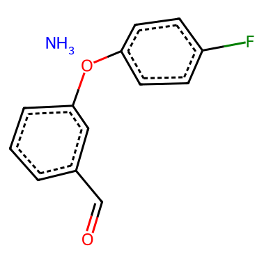 N.O=Cc1cccc(Oc2ccc(F)cc2)c1